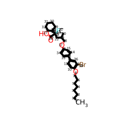 CCCCCCCCOc1ccc(-c2ccc(OCC(CC)C[C@](F)(C(=O)O)C3CCCCC3)cc2)cc1Br